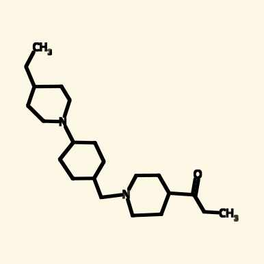 CCC(=O)C1CCN(CC2CCC(N3CCC(CC)CC3)CC2)CC1